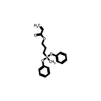 C=CC(=O)OCCC[Si](C)(Oc1ccccc1)Oc1ccccc1